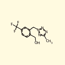 Cc1nnn(Cc2cc(C(F)(F)F)ccc2CO)n1